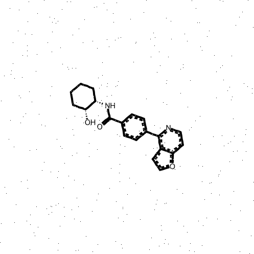 O=C(N[C@H]1CCCC[C@H]1O)c1ccc(-c2nccc3occc23)cc1